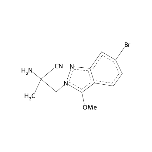 COc1c2ccc(Br)cc2nn1CC(C)(N)C#N